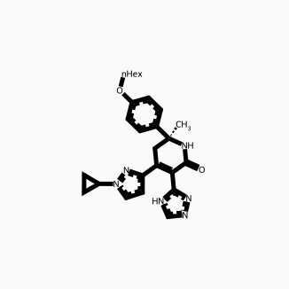 CCCCCCOc1ccc([C@]2(C)CC(c3ccn(C4CC4)n3)=C(c3nnc[nH]3)C(=O)N2)cc1